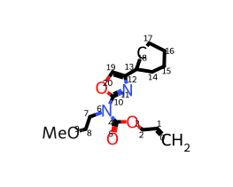 C=CCOC(=O)N(CCOC)c1nc(C2CCCCC2)co1